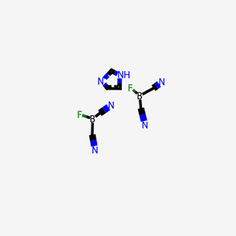 N#CB(F)C#N.N#CB(F)C#N.c1c[nH]cn1